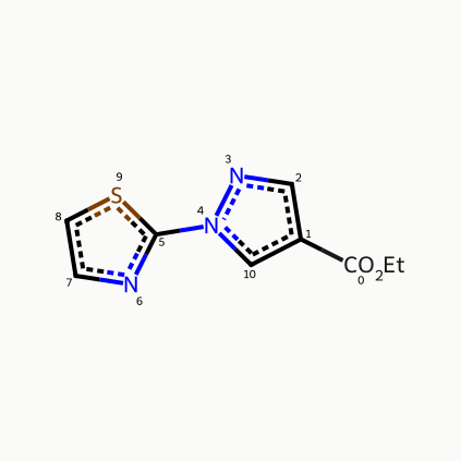 CCOC(=O)c1cnn(-c2nccs2)c1